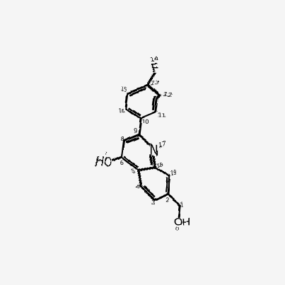 OCc1ccc2c(O)cc(-c3ccc(F)cc3)nc2c1